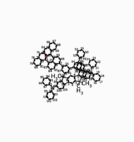 CC1(C)c2cc3c(cc2-c2c1cc(N(c1ccccc1)c1ccccc1)c1ccccc21)C(C)(c1cc(-c2cc(-c4ccccc4)cc(-c4ccccc4)c2)cc(-c2ccc(-c4cccc5ccccc45)c4c(-c5cccc6ccccc56)cccc24)c1)c1cc(N(c2ccccc2)c2ccccc2)ccc1-3